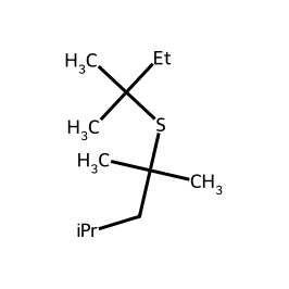 CCC(C)(C)SC(C)(C)CC(C)C